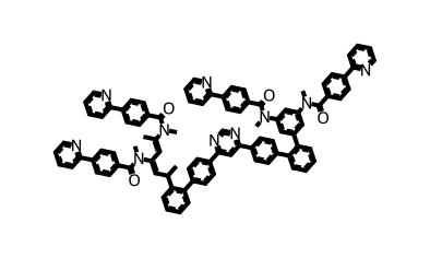 C/C(=C\C(=C/C(C)c1ccccc1-c1ccc(-c2cc(-c3ccc(-c4ccccc4-c4cc(N(C)C(=O)c5ccc(-c6ccccn6)cc5)cc(N(C)C(=O)c5ccc(-c6ccccn6)cc5)c4)cc3)ncn2)cc1)N(C)C(=O)c1ccc(-c2ccccn2)cc1)N(C)C(=O)c1ccc(-c2ccccn2)cc1